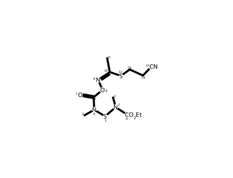 CCOC(=O)N(C)SN(C)C(=O)ON=C(C)SCCC#N